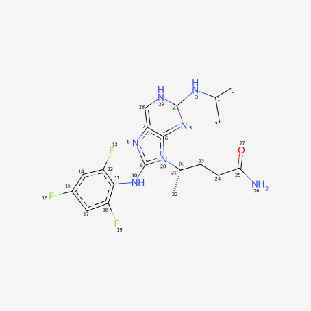 CC(C)NC1N=c2c(nc(Nc3c(F)cc(F)cc3F)n2[C@@H](C)CCC(N)=O)=CN1